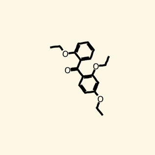 CCOc1ccc(C(=O)c2ccccc2OCC)c(OCC)c1